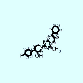 Cc1nc(N2CC=C(c3ccc(F)cc3)C(O)C2)nc(=O)n1Cc1cc2c(s1)CCCC2